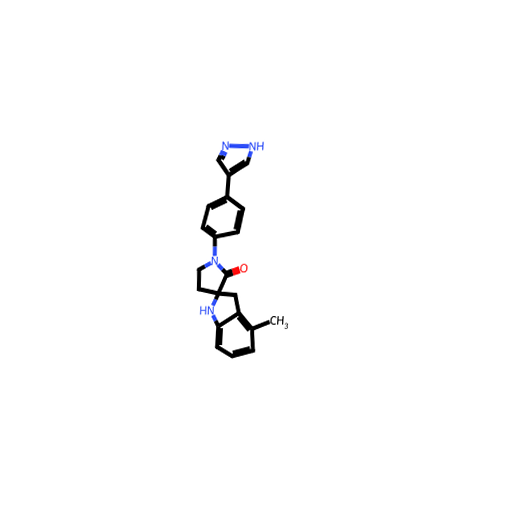 Cc1cccc2c1CC1(CCN(c3ccc(-c4cn[nH]c4)cc3)C1=O)N2